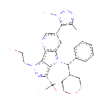 Cc1nnn(C)c1-c1cnc2c3c(c(C(C)(C)O)nn3CCO)n(C(c3ccccc3)C3CCOCC3)c2c1